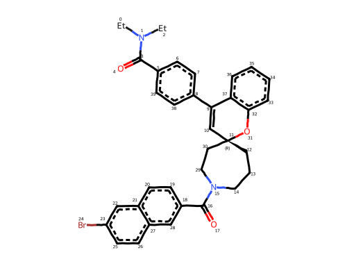 CCN(CC)C(=O)c1ccc(C2=C[C@]3(CCCN(C(=O)c4ccc5cc(Br)ccc5c4)CC3)Oc3ccccc32)cc1